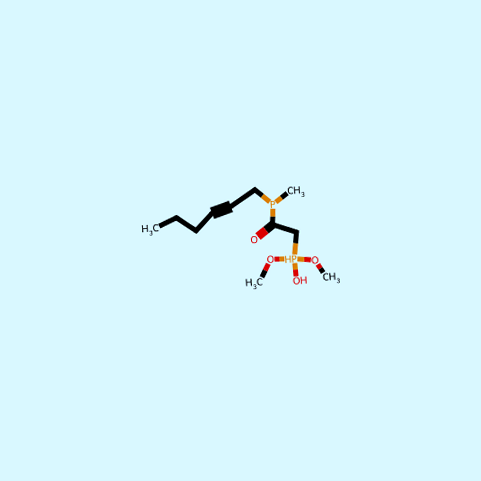 CCCC#CCP(C)C(=O)C[PH](O)(OC)OC